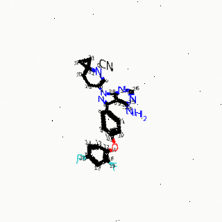 N#CN1CC(n2nc(-c3ccc(Oc4ccc(F)cc4F)cc3)c3c(N)ncnc32)CCC12CC2